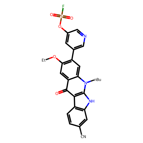 CCCCn1c2cc(-c3cncc(OS(=O)(=O)F)c3)c(OCC)cc2c(=O)c2c3ccc(C#N)cc3[nH]c21